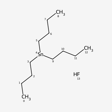 CCC[CH2][Sn]([CH2]CCC)[CH2]CCC.F